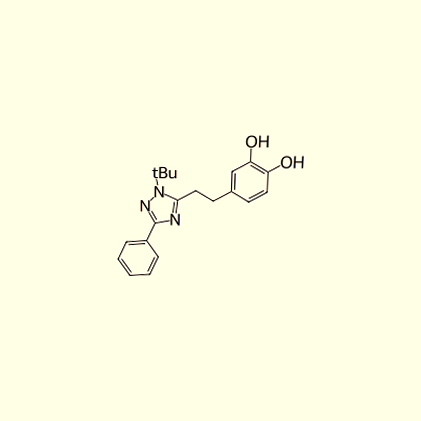 CC(C)(C)n1nc(-c2ccccc2)nc1CCc1ccc(O)c(O)c1